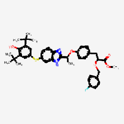 COC(=O)C(Cc1ccc(OC(C)c2nc3ccc(Sc4cc(C(C)(C)C)c(O)c(C(C)(C)C)c4)cc3[nH]2)cc1)OCc1ccc(F)cc1